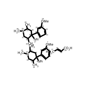 CCCC1(c2cccc(OC)c2)CC(C)N(C)CC1C.CCCC1(c2cccc(OC)c2)CC(C)N(C)CC1C.O=C(O)C=CC(=O)O